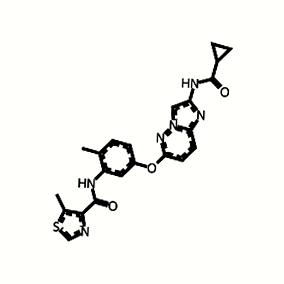 Cc1ccc(Oc2ccc3nc(NC(=O)C4CC4)cn3n2)cc1NC(=O)c1ncsc1C